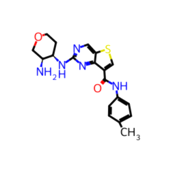 Cc1ccc(NC(=O)c2csc3cnc(N[C@@H]4CCOC[C@@H]4N)nc23)cc1